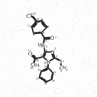 CSc1nc(NC(=O)c2ccc(Cl)cc2)c(C(=O)O)n1-c1ccccc1